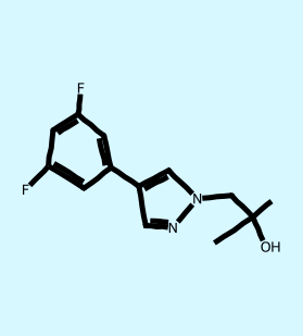 CC(C)(O)Cn1cc(-c2cc(F)cc(F)c2)cn1